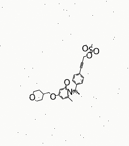 Cc1cc(OCC2CCOCC2)cc(=O)n1[C@H](C)c1ccc(C#CCOS(C)(=O)=O)cc1